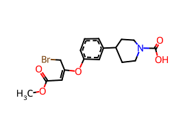 COC(=O)C=C(CBr)Oc1cccc(C2CCN(C(=O)O)CC2)c1